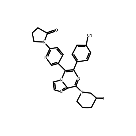 N#Cc1ccc(-c2nc(N3CCCC(I)C3)c3nccn3c2-c2ccc(N3CCCC3=O)nc2)cc1